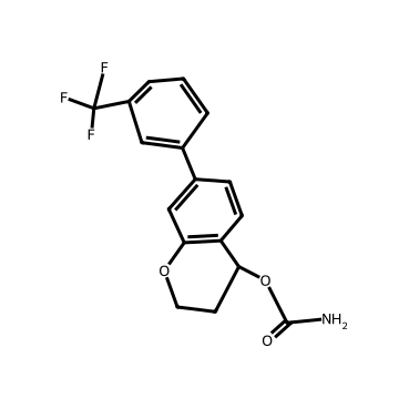 NC(=O)OC1CCOc2cc(-c3cccc(C(F)(F)F)c3)ccc21